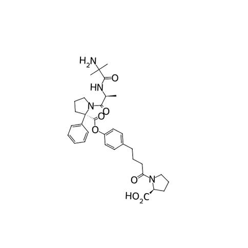 C[C@H](NC(=O)C(C)(C)N)C(=O)N1CCC[C@]1(C(=O)Oc1ccc(CCCC(=O)N2CCC[C@H]2C(=O)O)cc1)c1ccccc1